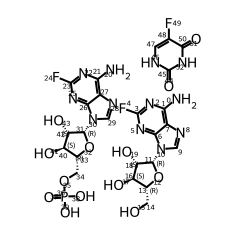 Nc1nc(F)nc2c1ncn2[C@@H]1O[C@H](CO)[C@@H](O)[C@@H]1O.Nc1nc(F)nc2c1ncn2[C@@H]1O[C@H](COP(=O)(O)O)[C@@H](O)[C@@H]1O.O=c1[nH]cc(F)c(=O)[nH]1